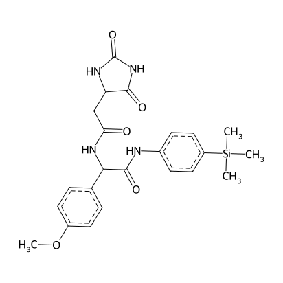 COc1ccc(C(NC(=O)CC2NC(=O)NC2=O)C(=O)Nc2ccc([Si](C)(C)C)cc2)cc1